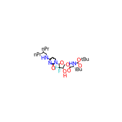 CCCC(CCC)CNc1ccn([C@@H]2O[C@H](OC(=O)[C@H](NC(=O)OC(C)(C)C)C(C)CC)[C@@H](O)C2(F)F)c(=O)n1